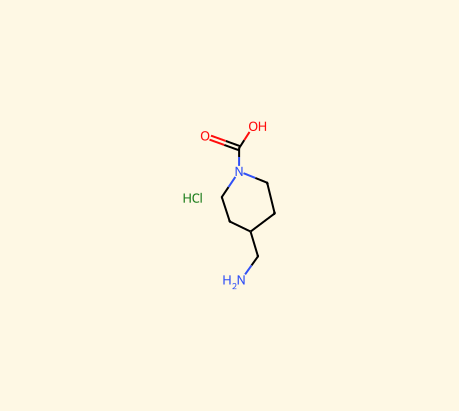 Cl.NCC1CCN(C(=O)O)CC1